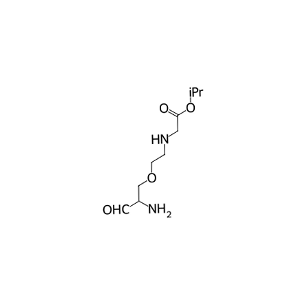 CC(C)OC(=O)CNCCOCC(N)C=O